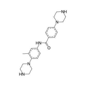 Cc1cc(NC(=O)c2ccc(N3CCNCC3)cc2)ccc1N1CCNCC1